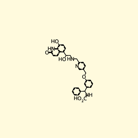 O=C(O)NC(c1ccccc1)c1cccc(OCc2ccc(CNC[C@@H](O)c3ccc(O)c4[nH]c(=O)ccc34)nc2)c1